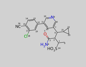 CC(C(C(N)=O)C(c1cncc(-c2ccc(C#N)c(Cl)c2)c1)C1CC1)S(=O)(=O)O